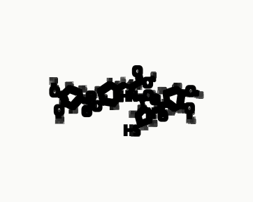 COC(=O)[C@H](Cc1ccc(OS(=O)(=O)c2ccc(OC)c(OC)c2)cc1)NC(=O)[C@@H]1C[C@H](S)CN1S(=O)(=O)c1ccc(OC)c(OC)c1